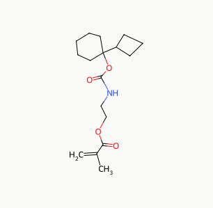 C=C(C)C(=O)OCCNC(=O)OC1(C2CCC2)CCCCC1